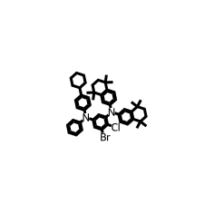 CC1(C)CCC(C)(C)c2cc(N(c3ccc4c(c3)C(C)(C)CCC4(C)C)c3cc(N(c4ccccc4)c4ccc(C5CCCCC5)cc4)cc(Br)c3Cl)ccc21